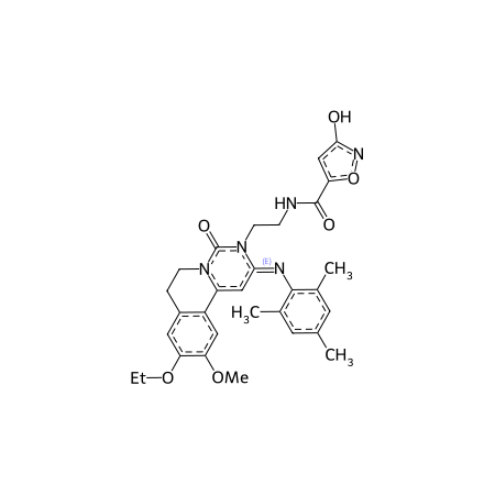 CCOc1cc2c(cc1OC)-c1c/c(=N\c3c(C)cc(C)cc3C)n(CCNC(=O)c3cc(O)no3)c(=O)n1CC2